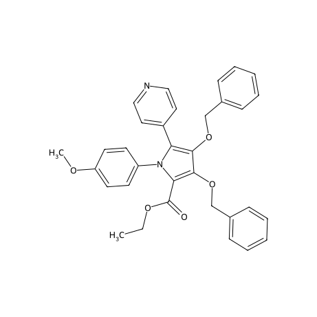 CCOC(=O)c1c(OCc2ccccc2)c(OCc2ccccc2)c(-c2ccncc2)n1-c1ccc(OC)cc1